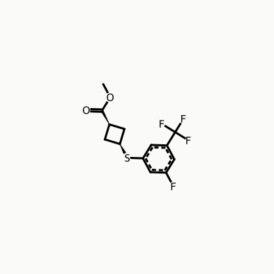 COC(=O)[C@H]1C[C@@H](Sc2cc(F)cc(C(F)(F)F)c2)C1